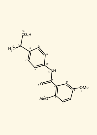 COc1ccc(OC)c(C(=O)Nc2ccc(C(C)C(=O)O)cc2)c1